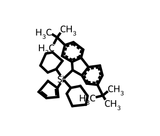 CC(C)(C)c1ccc2c(c1)C([Si](C1=CC=CC1)(C1CCCCC1)C1CCCCC1)c1cc(C(C)(C)C)ccc1-2